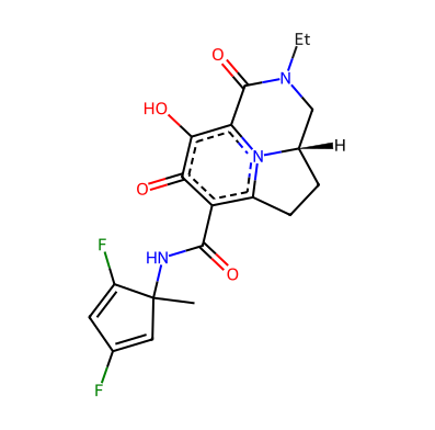 CCN1C[C@@H]2CCc3c(C(=O)NC4(C)C=C(F)C=C4F)c(=O)c(O)c(n32)C1=O